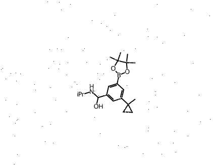 CC(C)NC(O)c1cc(B2OC(C)(C)C(C)(C)O2)cc(C2(C)CC2)c1